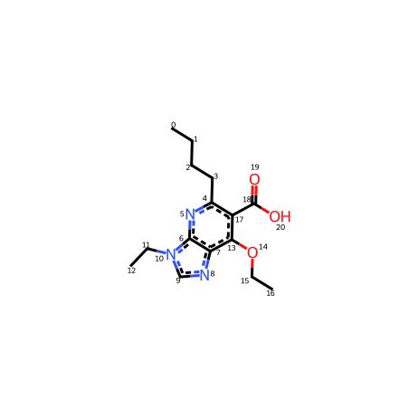 CCCCc1nc2c(ncn2CC)c(OCC)c1C(=O)O